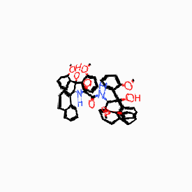 COc1ccccc1C(O)(c1ccccc1OC)[C@H](NC(=O)C(=O)N[C@H](c1cccc2ccccc12)C(O)(c1ccccc1OC)c1ccccc1OC)c1cccc2ccccc12